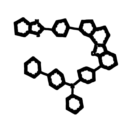 c1ccc(-c2ccc(N(c3ccccc3)c3ccc(-c4cccc5c4oc4c6cc(-c7ccc(-c8nc9ccccc9s8)cc7)ccc6ccc54)cc3)cc2)cc1